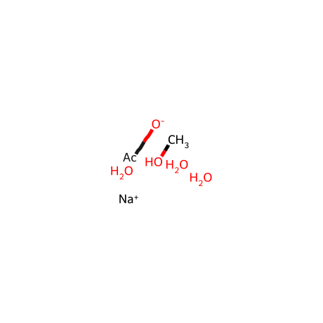 CC(=O)[O-].CO.O.O.O.[Na+]